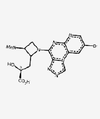 CNC1CN(c2nc3ncc(Br)cc3n3cnnc23)C1C[C@H](O)C(=O)O